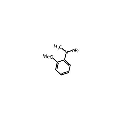 [CH2]CCN(C)c1ccccc1OC